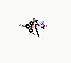 COc1ccc(C(OC[C@@]2(C=CCCCCCO)O[C@@H](n3cc(C)c(=O)[nH]c3=O)C[C@@H]2O[SiH2]C(C)(C)C(C)C)(c2ccccc2)c2ccc(OC)cc2)cc1